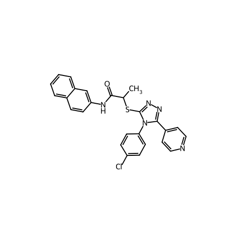 CC(Sc1nnc(-c2ccncc2)n1-c1ccc(Cl)cc1)C(=O)Nc1ccc2ccccc2c1